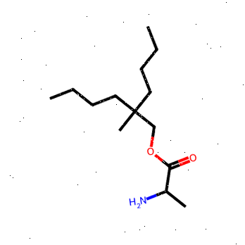 CCCCC(C)(CCCC)COC(=O)C(C)N